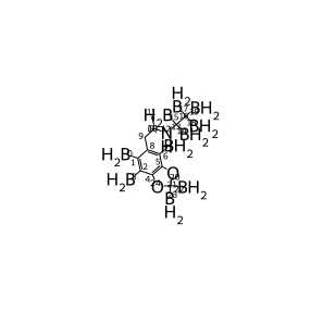 Bc1c(B)c2c(c(B)c1C[C@@H](C)NC(B)(B)C(B)(B)B)OC(B)(B)O2